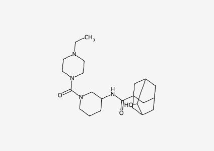 CCN1CCN(C(=O)N2CCCC(NC(=O)C34CC5CC(C3)C(O)C(C5)C4)C2)CC1